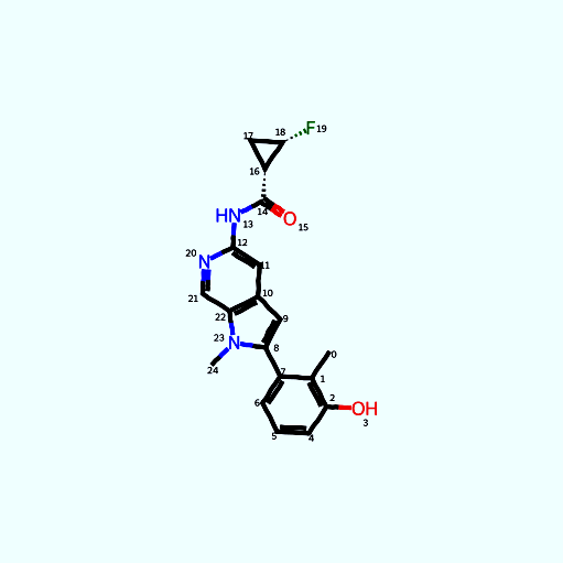 Cc1c(O)cccc1-c1cc2cc(NC(=O)[C@@H]3C[C@@H]3F)ncc2n1C